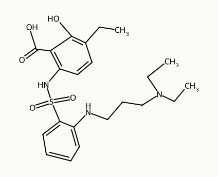 CCc1ccc(NS(=O)(=O)c2ccccc2NCCCN(CC)CC)c(C(=O)O)c1O